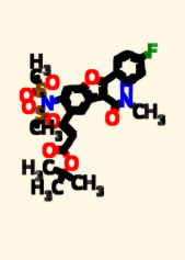 CNC(=O)c1c(-c2ccc(F)cc2)oc2cc(N(S(C)(=O)=O)S(C)(=O)=O)c(/C=C/C(=O)OC(C)(C)C)cc12